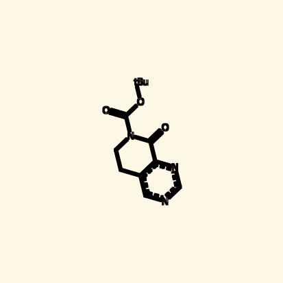 CC(C)(C)OC(=O)N1CCc2cncnc2C1=O